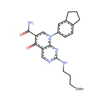 COCCCNc1ncc2c(=O)c(C(N)=O)cn(-c3ccc4c(c3)CCC4)c2n1